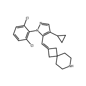 Clc1cccc(Cl)c1-n1ncc(C2CC2)c1C=C1CC2(CCNCC2)C1